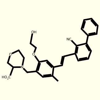 Cc1cc(CN2CCOCC2C(=O)O)c(OCCO)cc1/C=C/c1cccc(-c2ccccc2)c1C#N